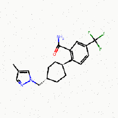 Cc1cnn(C[C@H]2CC[C@H](c3ccc(C(F)(F)F)cc3C(N)=O)CC2)c1